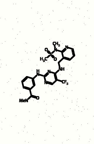 CNC(=O)c1cccc(Nc2ncc(C(F)(F)F)c(NCc3cccnc3N(C)S(C)(=O)=O)n2)c1